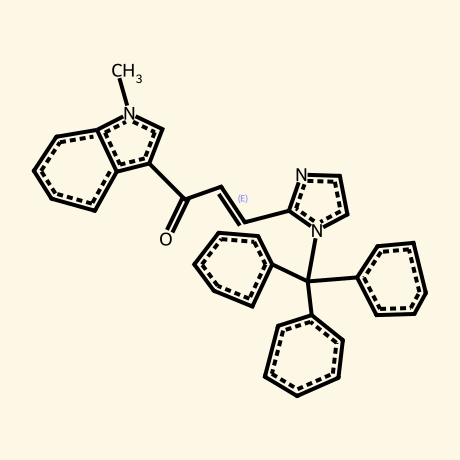 Cn1cc(C(=O)/C=C/c2nccn2C(c2ccccc2)(c2ccccc2)c2ccccc2)c2ccccc21